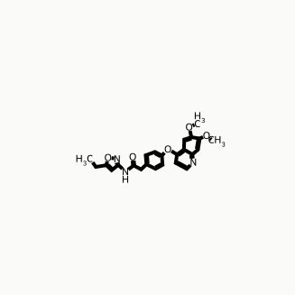 CCc1cc(NC(=O)Cc2ccc(Oc3ccnc4cc(OC)c(OC)cc34)cc2)no1